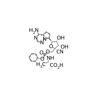 C[C@H](N[P@](=O)(OC[C@@]1(C#N)O[C@@H](c2ccc3c(N)ncnn23)[C@H](O)[C@@H]1O)Oc1ccccc1)C(=O)O